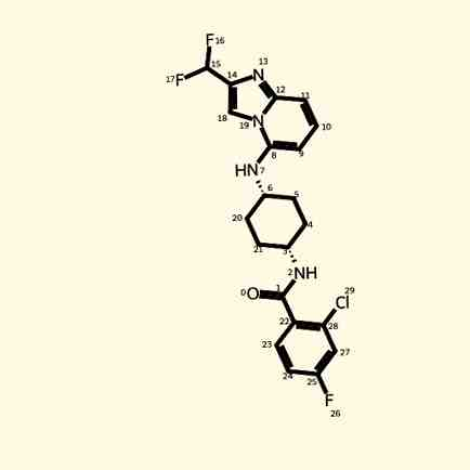 O=C(N[C@H]1CC[C@@H](Nc2cccc3nc(C(F)F)cn23)CC1)c1ccc(F)cc1Cl